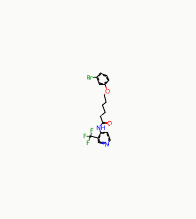 O=C(CCCCCOc1cccc(Br)c1)Nc1ccncc1C(F)(F)F